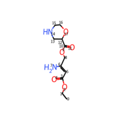 CCOC(=O)C=C(N)COC(=O)C1CNCCO1